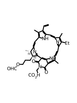 C=Cc1c(C)c2cc3nc(c4c5[nH]c(cc6nc(cc1[nH]2)C(C)=C6CC)c(C)c5C(=O)N(CC(=O)O)C4=O)[C@@H](CCCOC=O)[C@@H]3C